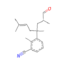 CC(C)=CCC(C)(CC(C)C=O)c1cccc(C#N)c1C